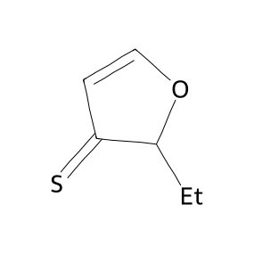 CCC1OC=CC1=S